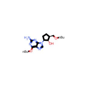 CCCCOC[C@@H]1CC[C@H](n2cnc3c(OCCCC)nc(N)nc32)[C@H]1O